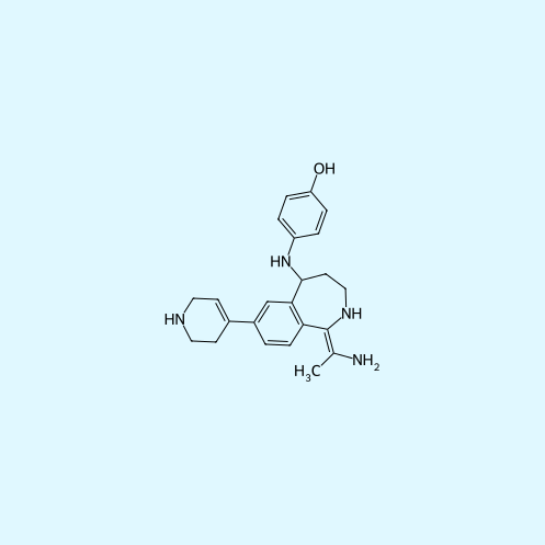 C/C(N)=C1/NCCC(Nc2ccc(O)cc2)c2cc(C3=CCNCC3)ccc21